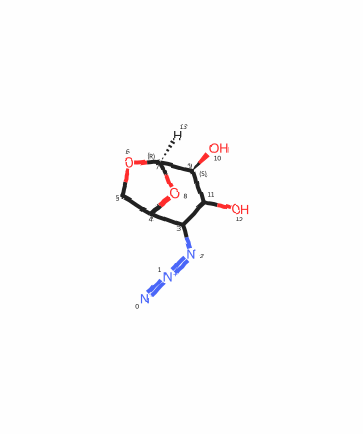 [N-]=[N+]=NC1C2CO[C@H](O2)[C@@H](O)C1O